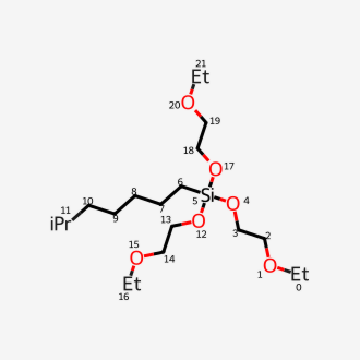 CCOCCO[Si](CCCCCC(C)C)(OCCOCC)OCCOCC